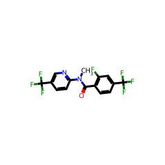 CN(C(=O)c1ccc(C(F)(F)F)cc1F)c1ccc(C(F)(F)F)cn1